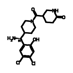 N[C@@H](c1cc(Cl)c(Cl)cc1O)C1CCN(C(=O)C2CCC(=O)NC2)CC1